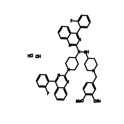 COc1ccc(CN2CCC(NN(c3nc(-c4ccccc4F)c4ccccc4n3)C3CCN(c4nc(-c5ccccc5F)c5ccccc5n4)CC3)CC2)cc1OCC(C)C.Cl.Cl